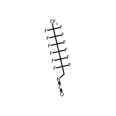 O=C=NCC(F)(F)C(F)(F)C(F)(F)C(F)(F)C(F)(F)C(F)(F)C(F)(F)F